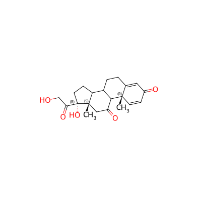 C[C@]12C=CC(=O)C=C1CCC1C2C(=O)C[C@@]2(C)C1CC[C@]2(O)C(=O)CO